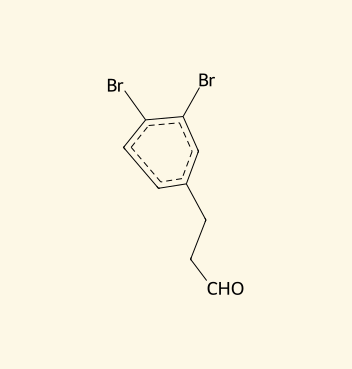 O=CCCc1ccc(Br)c(Br)c1